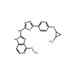 COc1nccc2[nH]c(Nc3nnc(-c4ccc(OC5CC5C)cc4)o3)nc12